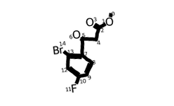 COC(=O)CC(=O)c1ccc(F)cc1Br